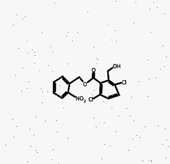 O=C(OCc1ccccc1[N+](=O)[O-])c1c(Cl)ccc(Cl)c1CO